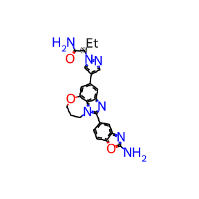 CC[C@@H](C(N)=O)n1cc(-c2cc3c4c(c2)nc(-c2ccc5oc(N)nc5c2)n4CCCO3)cn1